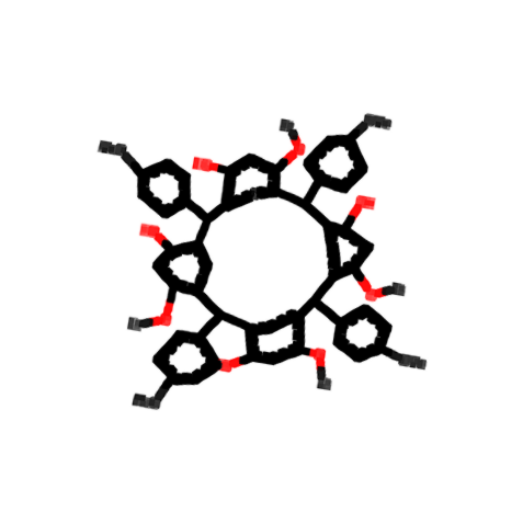 CCOc1cc(O)c2cc1C(c1ccc(OC)cc1)c1cc(c(OCC)cc1O)C(c1ccc(OC)cc1)c1cc(c(O)cc1OCC)C(c1ccc(OC)cc1)c1cc(c(O)cc1OCC)C2c1ccc(OC)cc1